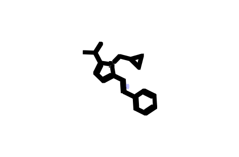 CC(C)c1ccc(/C=C/c2ccccc2)n1CC1CC1